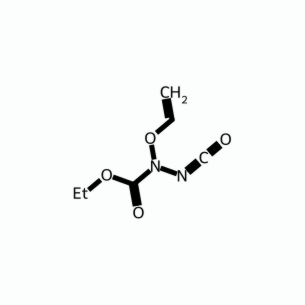 C=CON(N=C=O)C(=O)OCC